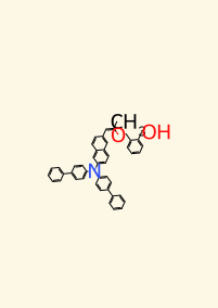 CC(=Cc1ccc2cc(N(c3ccc(-c4ccccc4)cc3)c3ccc(-c4ccccc4)cc3)ccc2c1)OCc1ccccc1CO